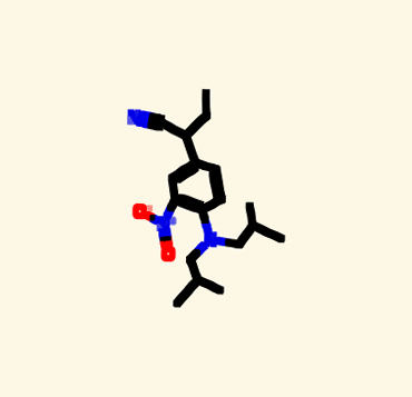 CCC(C#N)c1ccc(N(CC(C)C)CC(C)C)c([N+](=O)[O-])c1